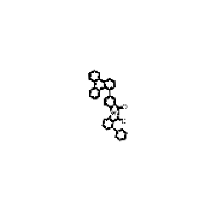 O=c1c2cc(-c3cccc4c5ccccc5c5ccccc5c34)ccc2n2c3cccc(-c4ccccc4)c3c(=O)n12